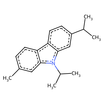 Cc1ccc2c3ccc(C(C)C)cc3n(C(C)C)c2c1